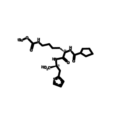 CC(C)(C)OC(=O)NCCCC[C@H](NC(=O)C1CCCC1)C(=O)N[C@@H](Cc1cccs1)C(=O)O